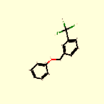 FC(F)(F)c1cccc(COc2ccccc2)c1